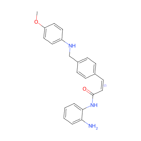 COc1ccc(NCc2ccc(/C=C\C(=O)Nc3ccccc3N)cc2)cc1